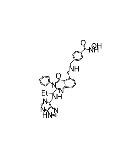 CCC(Nc1ncnc2[nH]cnc12)c1nc2cccc(CNCc3ccc(C(=O)NO)cc3)c2c(=O)n1-c1ccccc1